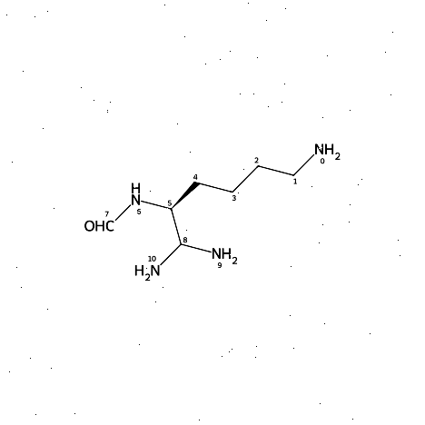 NCCCC[C@H](NC=O)C(N)N